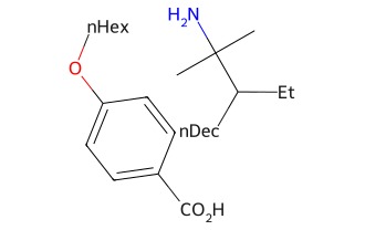 CCCCCCCCCCC(CC)C(C)(C)N.CCCCCCOc1ccc(C(=O)O)cc1